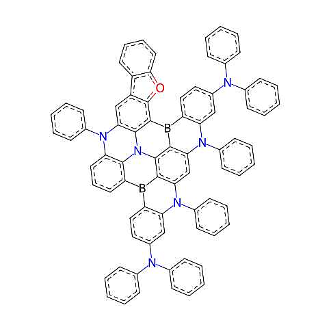 c1ccc(N(c2ccccc2)c2ccc3c(c2)N(c2ccccc2)c2cc4c5c6c2B3c2cccc3c2N6c2c(cc6c(oc7ccccc76)c2B5c2ccc(N(c5ccccc5)c5ccccc5)cc2N4c2ccccc2)N3c2ccccc2)cc1